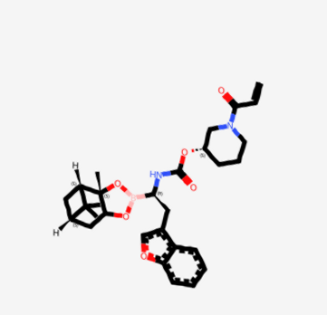 C=CC(=O)N1CCC[C@H](OC(=O)N[C@@H](Cc2coc3ccccc23)B2OC3C[C@@H]4C[C@@H](C4(C)C)[C@]3(C)O2)C1